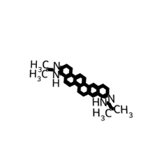 CC(C)c1nc2c([nH]1)-c1cc3c(cc1CC2)-c1ccc2c4c(ccc2c1CC3)-c1[nH]c(C(C)C)nc1CC4